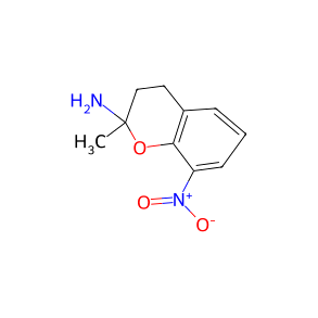 CC1(N)CCc2cccc([N+](=O)[O-])c2O1